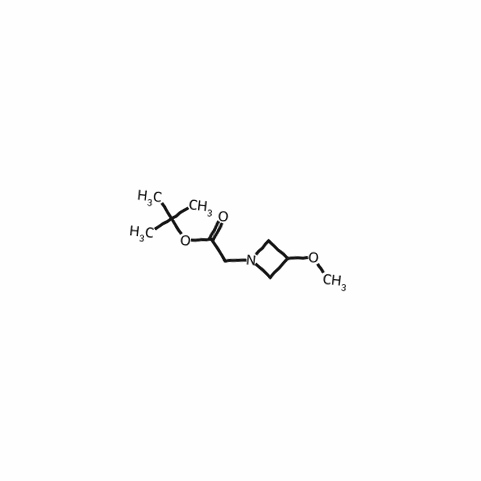 COC1CN(CC(=O)OC(C)(C)C)C1